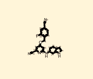 N#Cc1ccc(COc2cc(C#N)nc(Nc3ccc4cc[nH]c4c3)c2)c(F)c1